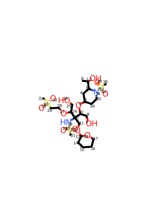 CC(O)C1CC(OC(CO)C(COC2C[CH]CCO2)(NS(C)(=O)=O)C(CO)OCCS(C)(=O)=O)CCN1S(C)(=O)=O